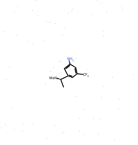 CN[C@H](C)c1cc(N)cc(C(F)(F)F)c1